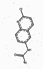 [3H]C(=O)Nc1ccc2nc(Cl)ccc2c1